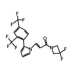 O=C(C=Cn1cccc1-c1ccc(C(F)(F)F)cc1C(F)(F)F)N1CC(F)(F)C1